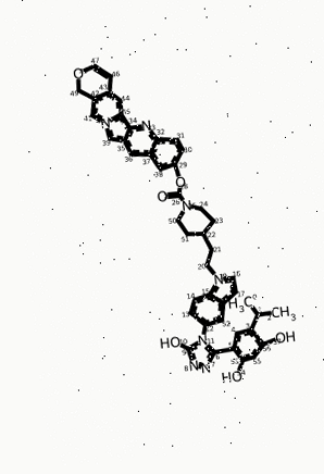 CC(C)c1cc(-c2nnc(O)n2-c2ccc3c(ccn3CCC3CCN(C(=O)Oc4ccc5nc6c(cc5c4)cn4cc5c(cc64)C=COC5)CC3)c2)c(O)cc1O